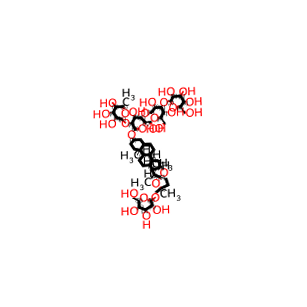 C[C@@H]1O[C@@H](O[C@H]2[C@H](O[C@H]3CC[C@@]4(C)C(=CC[C@H]5[C@@H]6C[C@@H]7O[C@]8(CC[C@@](C)(CO[C@@H]9O[C@H](CO)[C@@H](O)[C@H](O)[C@H]9O)O8)[C@@H](C)[C@@H]7[C@@]6(C)CC[C@@H]54)C3)O[C@H](CO)[C@@H](O[C@@H]3O[C@H](CO)[C@@H](O)[C@H](O[C@@H]4O[C@H](CO)[C@@H](O)[C@H](O)[C@H]4O)[C@H]3O)[C@@H]2O)[C@H](O)[C@H](O)[C@H]1O